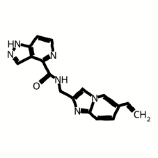 C=Cc1ccc2nc(CNC(=O)c3nccc4[nH]ncc34)cn2c1